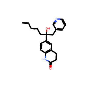 CCCCCC(O)(Cc1cccnc1)c1ccc2c(c1)CCC(=O)N2